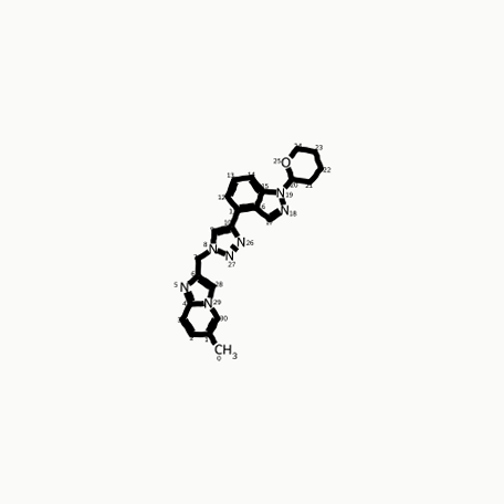 Cc1ccc2nc(Cn3cc(-c4cccc5c4cnn5C4CCCCO4)nn3)cn2c1